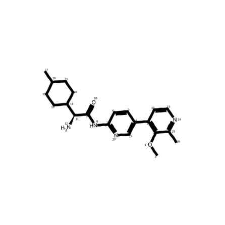 COc1c(-c2ccc(NC(=O)[C@@H](N)C3CCC(C)CC3)nc2)ccnc1C